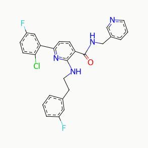 O=C(NCc1cccnc1)c1ccc(-c2cc(F)ccc2Cl)nc1NCCc1cccc(F)c1